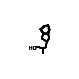 CC(CO)CC1Cc2ccccc2C1